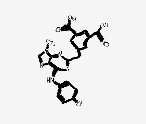 Cn1cnc2c(Nc3ccc(Cl)cc3)nc(Cc3cc(C(=O)O)cc(C(=O)O)c3)nc21